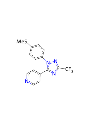 CSc1ccc(-n2nc(C(F)(F)F)nc2-c2ccncc2)cc1